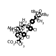 COCC(NC(=O)C(C)NCc1c(F)cc(Cl)cc1Oc1ccc(-c2cnc(CN(C(=O)OC(C)(C)C)C(C)(C)C)n2C)cc1)C(=O)N(C)C1(Cc2ccc(Cl)cc2)CCCN(C(=O)C(CC(=O)O)CC(F)(F)F)C1